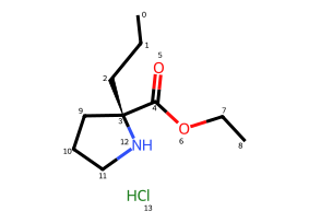 CCC[C@]1(C(=O)OCC)CCCN1.Cl